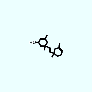 CC1=CCCC(C)(C=CC2(C)CC(C)=CC(O)C2)C1